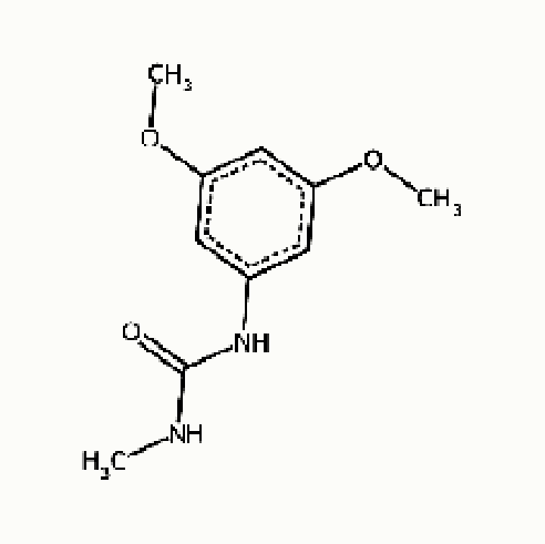 CNC(=O)Nc1cc(OC)cc(OC)c1